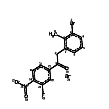 Cc1c(Br)ccc[n+]1CC(=O)c1ccc([N+](=O)[O-])c(F)c1.[Br-]